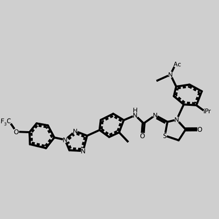 CC(=O)N(C)c1ccc(C(C)C)c(N2C(=O)CS/C2=N\C(=O)Nc2ccc(-c3ncn(-c4ccc(OC(F)(F)F)cc4)n3)cc2C)c1